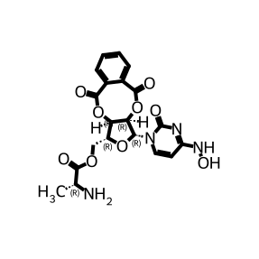 C[C@@H](N)C(=O)OC[C@H]1O[C@@H](n2ccc(NO)nc2=O)[C@@H]2OC(=O)c3ccccc3C(=O)O[C@@H]21